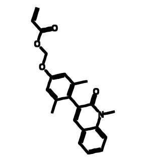 C=CC(=O)OCOc1cc(C)c(-c2cc3ccccc3n(C)c2=O)c(C)c1